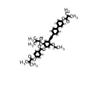 C=C(C)C(=O)Oc1ccc(C(=O)Oc2cc(OCC)c(C#Cc3ccc(-c4ccc(OC(=O)C(=C)C)cc4)cc3)cc2OC(=O)C(=C)C)cc1